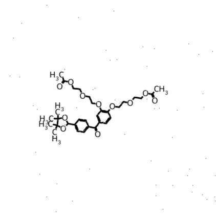 CC(=O)OCCOCCOc1ccc(C(=O)c2ccc(C3OC(C)(C)C(C)(C)O3)cc2)cc1OCCOCCOC(C)=O